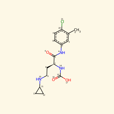 Cc1cc(NC(=O)[C@H](CCNC2CC2)NC(=O)O)ccc1Cl